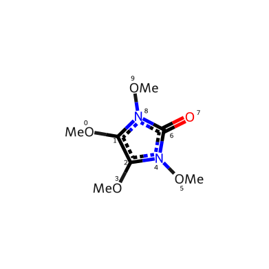 COc1c(OC)n(OC)c(=O)n1OC